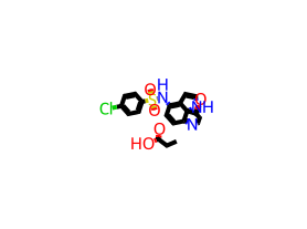 CCC(=O)O.O=C1CCN=C2C=CC(NS(=O)(=O)c3ccc(Cl)cc3)=C3C=CNC123